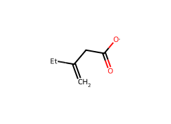 C=C(CC)CC([O])=O